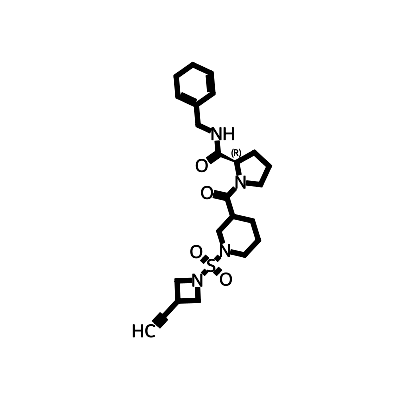 C#CC1CN(S(=O)(=O)N2CCCC(C(=O)N3CCC[C@@H]3C(=O)NCC3=CCCC=C3)C2)C1